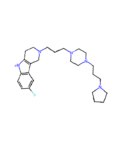 Fc1ccc2[nH]c3c(c2c1)CN(CCCN1CCN(CCCN2CCCC2)CC1)CC3